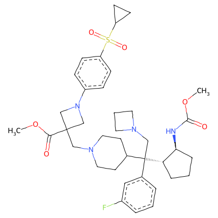 COC(=O)N[C@H]1CCC[C@@H]1C(CN1CCC1)(c1cccc(F)c1)C1CCN(CC2(C(=O)OC)CN(c3ccc(S(=O)(=O)C4CC4)cc3)C2)CC1